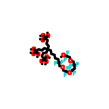 COC(F)(F)COCC(F)(F)CC(F)(F)OC(F)(F)COCC(F)(F)CCCCCC(CCC[Si](OC)(OC)OC)(CCC[Si](OC)(OC)OC)CCC[Si](OC)(OC)OC